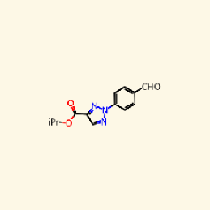 CC(C)OC(=O)c1cnn(-c2ccc(C=O)cc2)n1